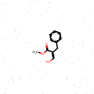 COC(=O)/C(=C\O)Cc1ccccc1